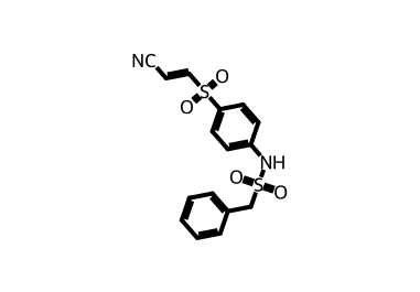 N#C/C=C/S(=O)(=O)c1ccc(NS(=O)(=O)Cc2ccccc2)cc1